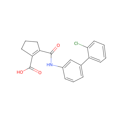 O=C(O)C1=C(C(=O)Nc2cccc(-c3ccccc3Cl)c2)CCC1